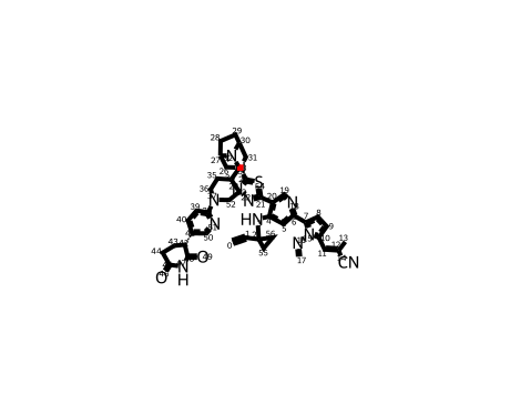 C#CC1(Nc2cc(-c3ccc(/C=C(\C)C#N)n3N=C)ncc2-c2nnc(N3CC4CCC(C3)N4CC3CCN(c4ccc([C@H]5CCC(=O)NC5=O)cn4)CC3)s2)CC1